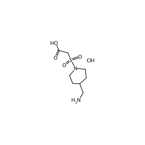 Cl.NCC1CCN(S(=O)(=O)CC(=O)O)CC1